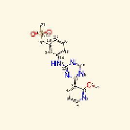 COc1ncccc1-c1ncnc(Nc2cccc(CS(C)(=O)=O)c2)n1